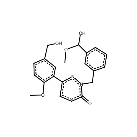 COc1ccc(CO)cc1-c1ccc(=O)n(Cc2cccc(C(O)OC)c2)n1